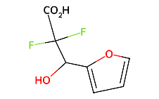 O=C(O)C(F)(F)C(O)c1ccco1